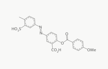 COc1ccc(C(=O)Oc2ccc(N=Nc3ccc(C)c(S(=O)(=O)O)c3)cc2C(=O)O)cc1